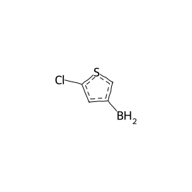 Bc1csc(Cl)c1